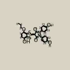 CCCOc1ccc(O)c2c1SC(=C1C(=O)N(c3ccc(OC)cc3)N(c3ccc(OC)cc3)C1=O)S2